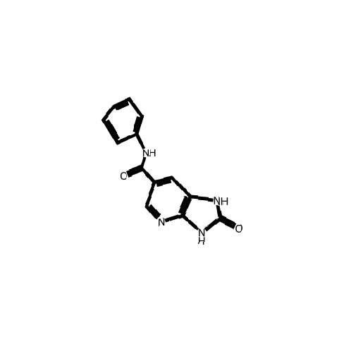 O=C(Nc1ccccc1)c1cnc2[nH]c(=O)[nH]c2c1